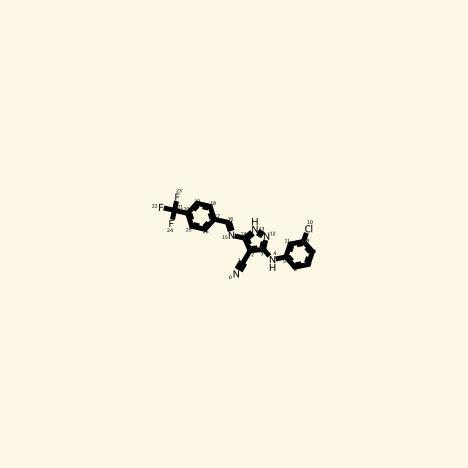 N#Cc1c(Nc2cccc(Cl)c2)n[nH]c1/N=C/c1ccc(C(F)(F)F)cc1